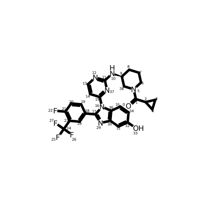 O=C(C1CC1)N1CCC[C@H](Nc2nccc(-n3c(-c4ccc(F)c(C(F)(F)F)c4)nc4cc(O)ccc43)n2)C1